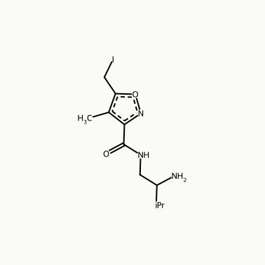 Cc1c(C(=O)NCC(N)C(C)C)noc1CI